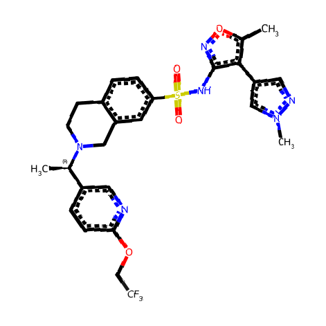 Cc1onc(NS(=O)(=O)c2ccc3c(c2)CN([C@H](C)c2ccc(OCC(F)(F)F)nc2)CC3)c1-c1cnn(C)c1